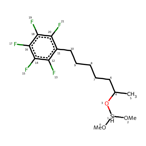 CO[SiH](OC)OC(C)CCCCCc1c(F)c(F)c(F)c(F)c1F